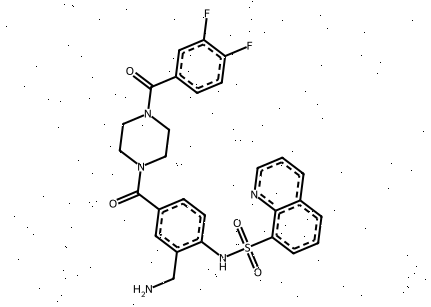 NCc1cc(C(=O)N2CCN(C(=O)c3ccc(F)c(F)c3)CC2)ccc1NS(=O)(=O)c1cccc2cccnc12